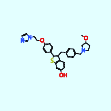 COC1CCN(Cc2ccc(Cc3c(-c4ccc(OCCn5ccnc5)cc4)sc4cc(O)ccc34)cc2)C1